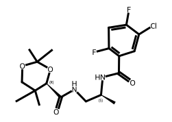 C[C@@H](CNC(=O)[C@@H]1OC(C)(C)OCC1(C)C)NC(=O)c1cc(Cl)c(F)cc1F